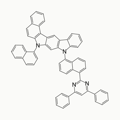 c1ccc(-c2cc(-c3ccccc3)nc(-c3cccc4c(-n5c6ccccc6c6cc7c8c9ccccc9ccc8n(-c8cccc9ccccc89)c7cc65)cccc34)n2)cc1